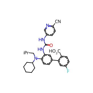 CC(C)CN(c1ccc(-c2cc(F)ccc2C(=O)O)cc1NC(=O)Nc1ccc(C#N)nc1)C1CCCCC1